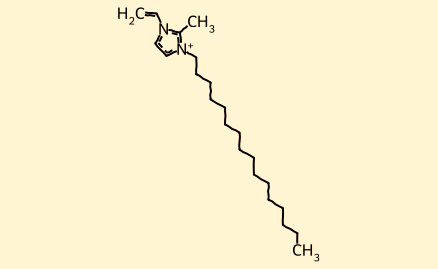 C=Cn1cc[n+](CCCCCCCCCCCCCCCC)c1C